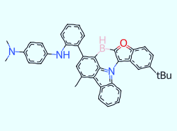 Cc1cc(-c2ccccc2Nc2ccc(N(C)C)cc2)c2c3c1c1ccccc1n3-c1c(oc3ccc(C(C)(C)C)cc13)B2